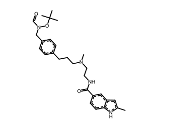 Cc1cc2cc(C(=O)NCCN(C)CCCc3ccc(CN(C=O)OC(C)(C)C)cc3)ccc2[nH]1